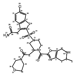 CC1Cc2nc(C(=O)N3CCN(S(=O)(=O)c4sc5cc(Cl)ccc5c4CC(N)=O)CC3CC(=O)N3CCOCC3)oc2CN1